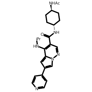 CC(=O)N[C@H]1CC[C@H](NC(=O)c2cnn3cc(-c4ccncc4)cc3c2NC(C)C)CC1